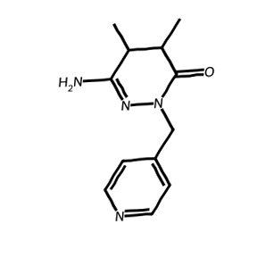 CC1C(=O)N(Cc2ccncc2)N=C(N)C1C